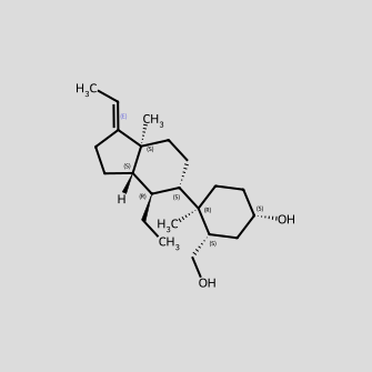 C/C=C1\CC[C@H]2[C@H](CC)[C@@H]([C@@]3(C)CC[C@H](O)C[C@@H]3CO)CC[C@]12C